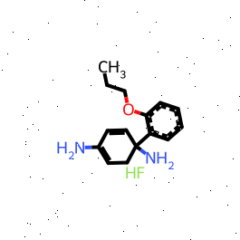 CCCOc1ccccc1C1(N)C=CC(N)=CC1.F